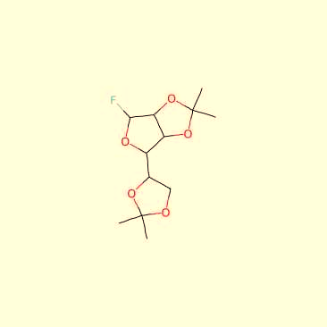 CC1(C)OCC(C2OC(F)C3OC(C)(C)OC32)O1